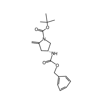 C=C1C[C@@H](NC(=O)OCc2ccccc2)CN1C(=O)OC(C)(C)C